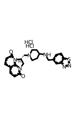 Cl.Cl.O=c1ccc2ccc(=O)n3c2n1C[C@H]3CN1CCC(NCc2ccc3snnc3c2)CC1